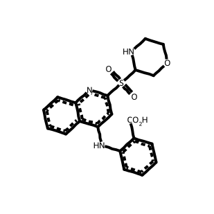 O=C(O)c1ccccc1Nc1cc(S(=O)(=O)C2COCCN2)nc2ccccc12